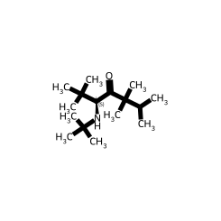 CC(C)C(C)(C)C(=O)[C@@H](NC(C)(C)C)C(C)(C)C